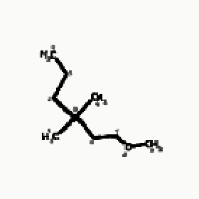 CCCC(C)(C)CCOC